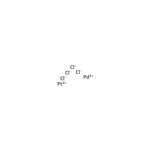 [Cl-].[Cl-].[Cl-].[Cl-].[Pd+2].[Pt+2]